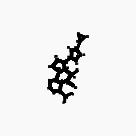 CN(C)c1cccc2c1c(=O)n(C)c1c(-c3nc(C4CC4)no3)ncn21